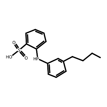 CCCCc1cccc(Pc2ccccc2S(=O)(=O)O)c1